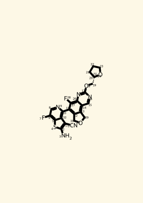 N#Cc1c(N)sc2c(F)cnc(-c3c4c(c5cnc(OC[C@@H]6CCCO6)nc5c3F)COC4)c12